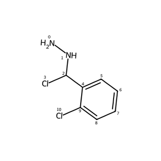 NNC(Cl)c1ccccc1Cl